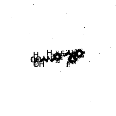 O=[PH](O)OCCCNCc1ccc(SCCCCC2(c3ccc(F)cc3)CCCCC2)cc1